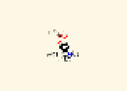 CCCC(=O)Oc1ccc(N(CC)CC)c(S(=O)(=O)O)c1